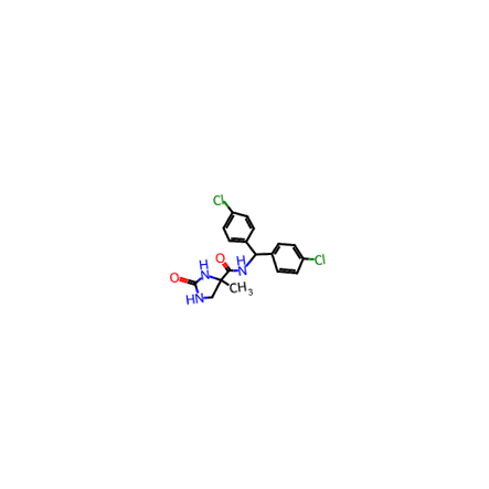 CC1(C(=O)NC(c2ccc(Cl)cc2)c2ccc(Cl)cc2)CNC(=O)N1